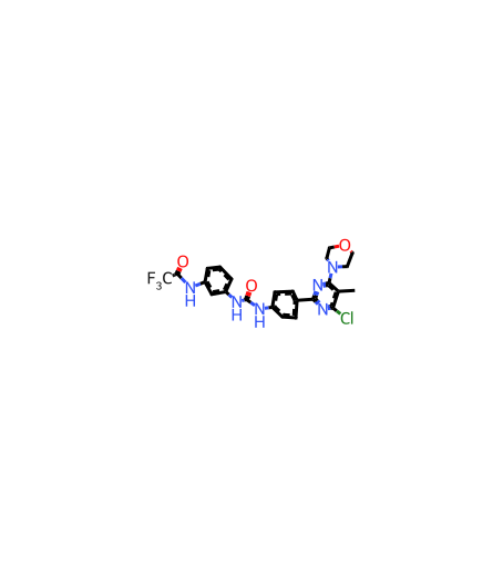 Cc1c(Cl)nc(-c2ccc(NC(=O)Nc3cccc(NC(=O)C(F)(F)F)c3)cc2)nc1N1CCOCC1